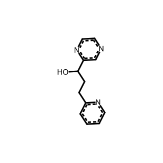 OC(CCc1ccccn1)c1cnccn1